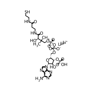 CC(C)(COP(=O)([O-])OP(=O)([O-])OC[C@H]1O[C@@H](n2cnc3c(N)ncnc32)C(O)[C@H]1OP(=O)([O-])O)[C@@H](O)C(=O)NCCC(=O)NCCS.[Li+].[Li+].[Li+]